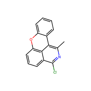 Cc1nc(Cl)c2cccc3c2c1-c1ccccc1O3